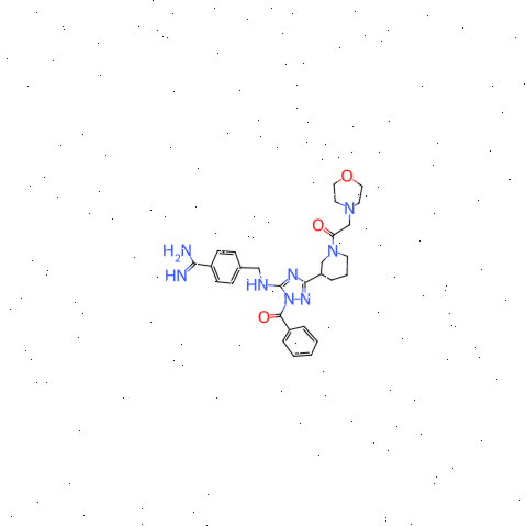 N=C(N)c1ccc(CNc2nc(C3CCCN(C(=O)CN4CCOCC4)C3)nn2C(=O)c2ccccc2)cc1